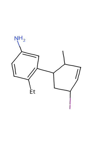 CCc1ccc(N)cc1C1CC(I)C=CC1C